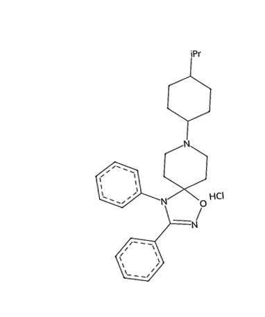 CC(C)C1CCC(N2CCC3(CC2)ON=C(c2ccccc2)N3c2ccccc2)CC1.Cl